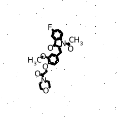 COc1cc(C=C2C(=O)c3cc(F)ccc3N2C(C)=O)ccc1OCC(=O)N1CCOCC1